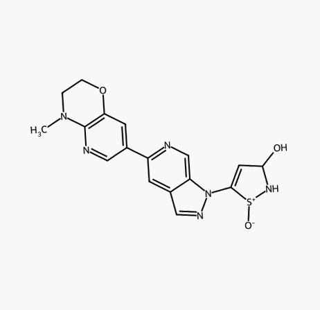 CN1CCOc2cc(-c3cc4cnn(C5=CC(O)N[S+]5[O-])c4cn3)cnc21